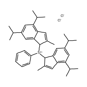 CC1=Cc2c(C(C)C)cc(C(C)C)cc2[CH]1[Ti+2]([c]1ccccc1)[CH]1C(C)=Cc2c(C(C)C)cc(C(C)C)cc21.[Cl-].[Cl-]